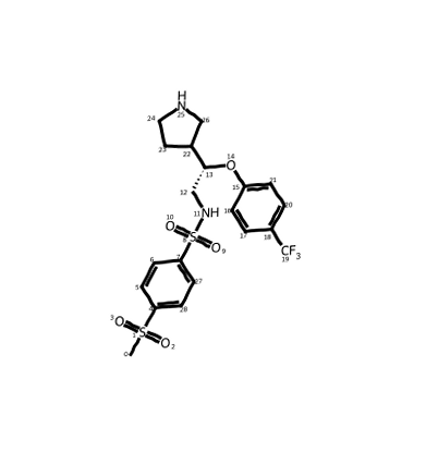 CS(=O)(=O)c1ccc(S(=O)(=O)NC[C@@H](Oc2ccc(C(F)(F)F)cc2)C2CCNC2)cc1